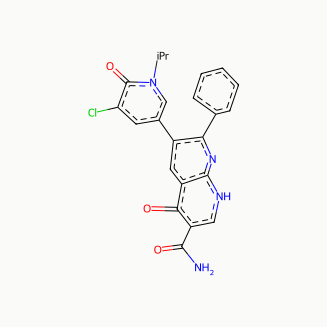 CC(C)n1cc(-c2cc3c(=O)c(C(N)=O)c[nH]c3nc2-c2ccccc2)cc(Cl)c1=O